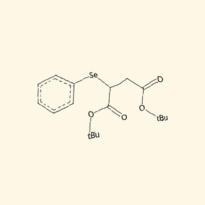 CC(C)(C)OC(=O)CC([Se]c1ccccc1)C(=O)OC(C)(C)C